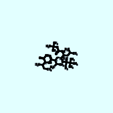 CCC(C)[C@H](NC(=O)[C@@H](C[C@@H](O[Si](C)(C)C(C)(C)C)[C@H](CC(C)C)NC(=O)OC(C)(C)C)C(C)C)C(=O)O